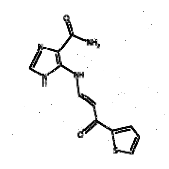 NC(=O)c1nc[nH]c1NC=CC(=O)c1cccs1